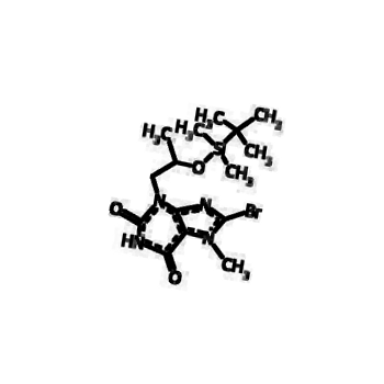 CC(Cn1c(=O)[nH]c(=O)c2c1nc(Br)n2C)O[Si](C)(C)C(C)(C)C